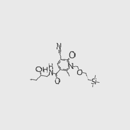 CCC(O)CNC(=O)c1cc(C#N)c(=O)n(COCC[Si](C)(C)C)c1C